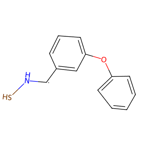 SN[CH]c1cccc(Oc2ccccc2)c1